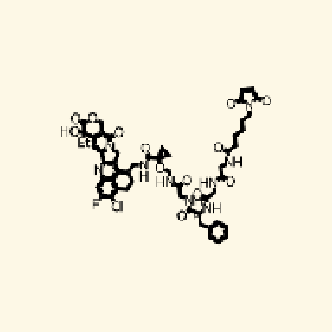 CC[C@@]1(O)C(=O)OCc2c1cc1n(c2=O)Cc2c-1nc1cc(F)c(Cl)c3c1c2C(CNC(=O)C1(OCNC(=O)CNC(=O)[C@H](Cc2ccccc2)NC(=O)CNC(=O)CNC(=O)CCCCCN2C(=O)C=CC2=O)CC1)CC3